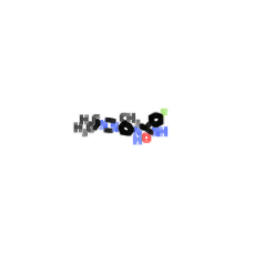 CCC(C)N1CCN(c2ccc(NC=C3C(=O)Nc4cc(F)ccc43)cc2C)CC1